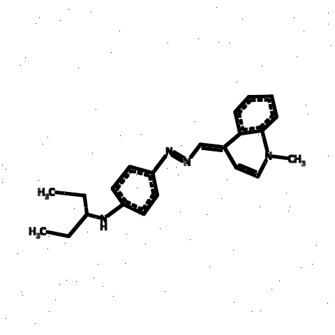 CCC(CC)Nc1ccc(N=N/C=C2\C=CN(C)c3ccccc32)cc1